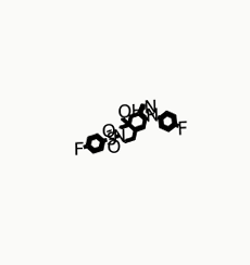 O=S(=O)(c1ccc(F)cc1)N1CCC2=Cc3c(cnn3-c3ccc(F)cc3)CC2(CO)C1